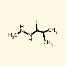 CNNC(I)C(C)C